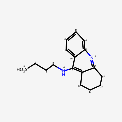 O=S(=O)(O)CCCNc1c2c(nc3ccccc13)CCCC2